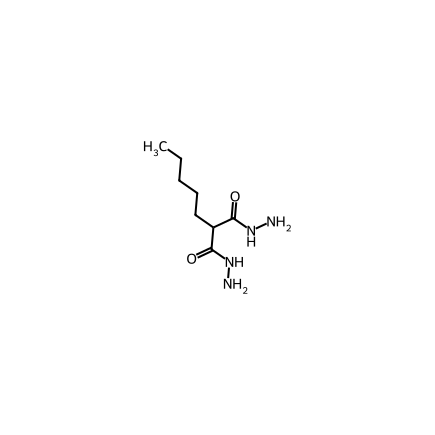 CCCCCC(C(=O)NN)C(=O)NN